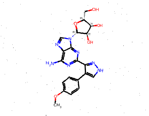 COc1ccc(-c2c[nH]nc2-c2nc(N)c3ncn([C@@H]4O[C@H](CO)[C@@H](O)[C@H]4O)c3n2)cc1